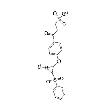 O=C(CCS(=O)(=O)O)c1ccc(OC2C(S(=O)(=O)c3ccccc3)N2Cl)cc1